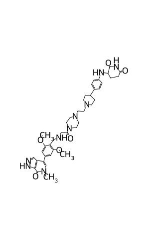 COc1cc(-c2cn(C)c(=O)c3[nH]ncc23)cc(OC)c1CNCC(=O)N1CCN(CCN2CCC(c3ccc(NC4CCC(=O)NC4=O)cc3)CC2)CC1